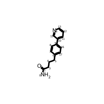 NC(=O)CCCc1ccc(-c2cccnc2)cc1